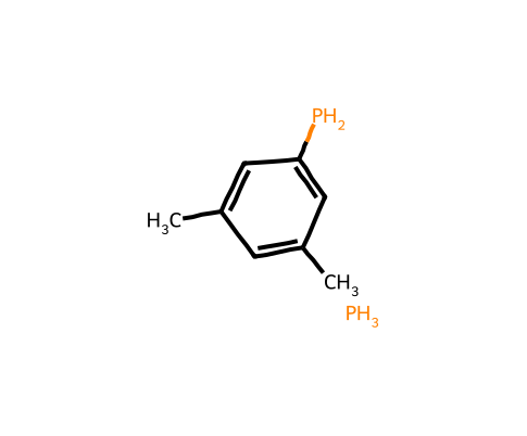 Cc1cc(C)cc(P)c1.P